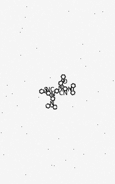 N#Cc1cc(-n2c3ccc(-n4c5ccccc5c5ccccc54)cc3c3c4oc5ccccc5c4ccc32)c(C#N)cc1-n1c2ccc(-n3c4ccccc4c4ccccc43)cc2c2cc3c(cc21)sc1ccccc13